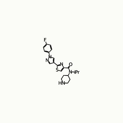 CC(C)N(C(=O)c1csc(-c2cnn(-c3ccc(F)cc3)c2)n1)C1CCNCC1